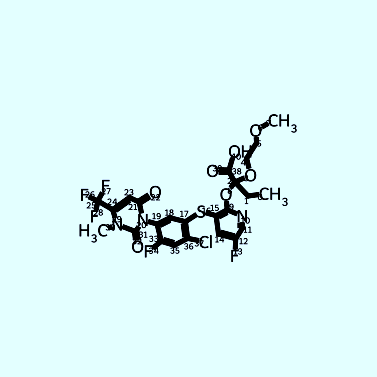 CCC(OCCOC)(Oc1ncc(F)cc1Sc1cc(-n2c(=O)cc(C(F)(F)F)n(C)c2=O)c(F)cc1Cl)C(=O)O